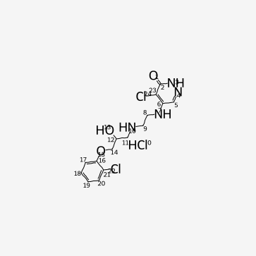 Cl.O=c1[nH]ncc(NCCNCC(O)COc2ccccc2Cl)c1Cl